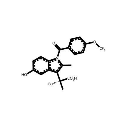 CCC(C)[C@@](C)(C(=O)O)c1c(C)n(C(=O)c2ccc(OC(F)(F)F)cc2)c2ccc(O)cc12